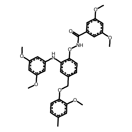 COc1cc(Nc2cc(COc3ccc(C)cc3OC)ccc2ONC(=O)c2cc(OC)cc(OC)c2)cc(OC)c1